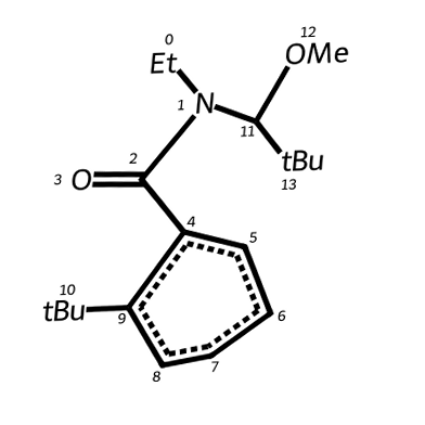 CCN(C(=O)c1ccccc1C(C)(C)C)C(OC)C(C)(C)C